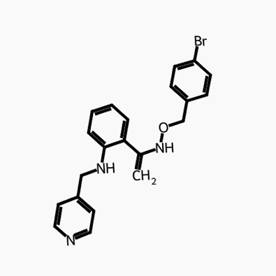 C=C(NOCc1ccc(Br)cc1)c1ccccc1NCc1ccncc1